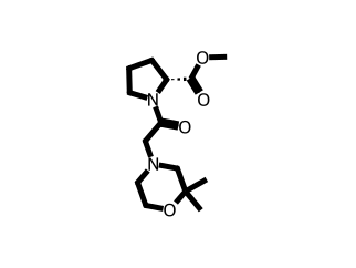 COC(=O)[C@H]1CCCN1C(=O)CN1CCOC(C)(C)C1